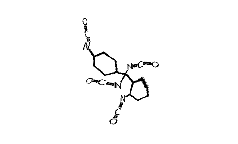 O=C=NC1CCC(C(N=C=O)(N=C=O)C2CCCCC2N=C=O)CC1